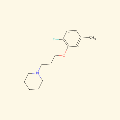 Cc1[c]c(OCCCN2CCCCC2)c(F)cc1